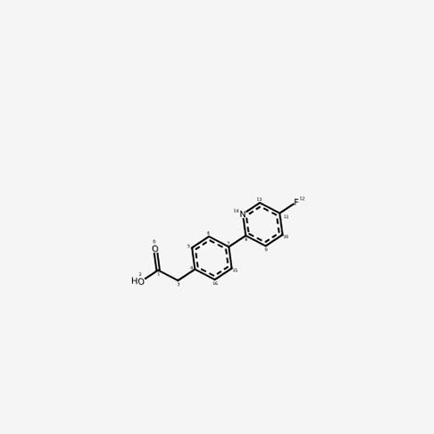 O=C(O)Cc1ccc(-c2ccc(F)cn2)cc1